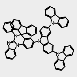 c1ccc(N2c3nc4ccccc4n3-c3ccc(-n4c5ccc(-n6c7ccccc7c7ccccc76)cc5c5cc(-n6c7ccccc7c7ccccc76)ccc54)cc3C23c2ccccc2-c2ccccc23)cc1